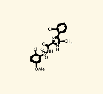 COc1ccc(Cl)c(S(=O)(=O)NC(=O)c2nc(-c3ccccc3Cl)c(C)[nH]2)c1